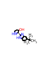 CC(C)(C)c1ccc2[nH]c([C@H]3NCC[C@H]3O)nc2c1